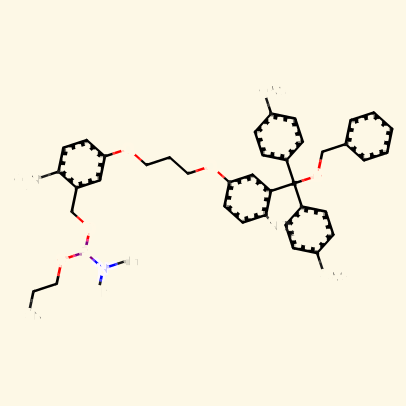 COc1ccc(C(OCc2ccccc2)(c2ccc(OC)cc2)c2cc(OCCCOc3ccc([N+](=O)[O-])c(COP(OCCC#N)N(C(C)C)C(C)C)c3)ccc2[N+](=O)[O-])cc1